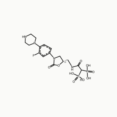 O=C(NC[C@H]1CN(c2ccc(N3CCNCC3)c(F)c2)C(=O)O1)C(P(=O)(O)O)P(=O)(O)O